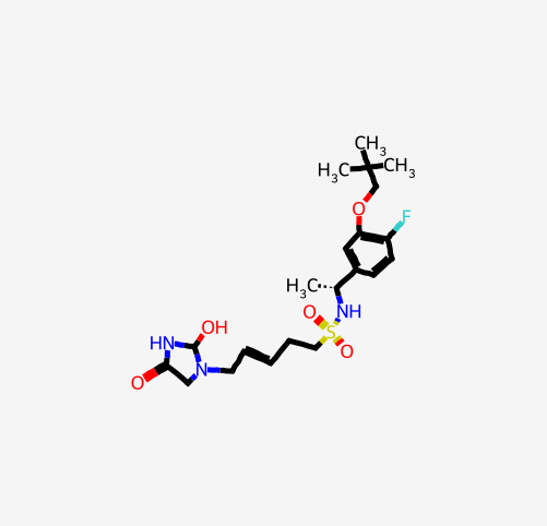 C[C@@H](NS(=O)(=O)CC/C=C/CN1CC(=O)NC1O)c1ccc(F)c(OCC(C)(C)C)c1